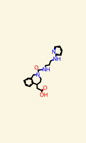 O=C(O)CC1CCN(C(=O)NCCCNc2ccccn2)Cc2ccccc21